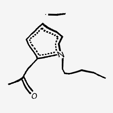 CCCn1cccc1C(C)=O.[CH2]C